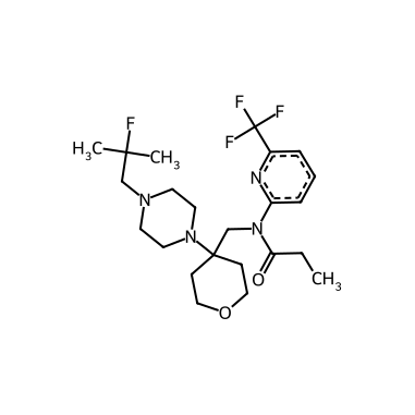 CCC(=O)N(CC1(N2CCN(CC(C)(C)F)CC2)CCOCC1)c1cccc(C(F)(F)F)n1